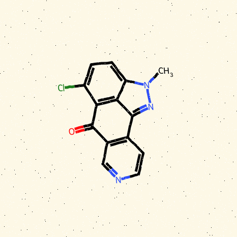 Cn1nc2c3c(c(Cl)ccc31)C(=O)c1cnccc1-2